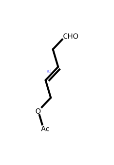 CC(=O)OC/C=C/CC=O